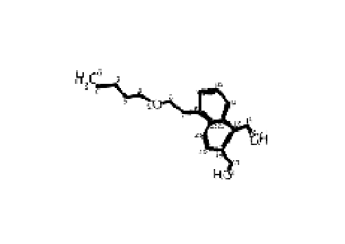 CCCCCOCCc1cccc2c(CO)c(CO)ccc12